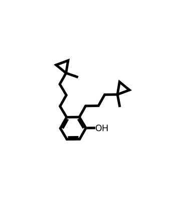 CC1(CCCc2cccc(O)c2CCCC2(C)CC2)CC1